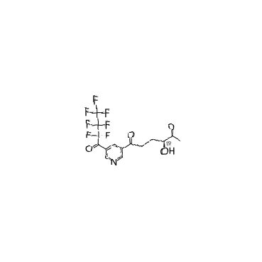 CC(=O)[C@@H](O)CCC(=O)c1cncc(C(=O)C(F)(F)C(F)(F)C(F)(F)F)c1